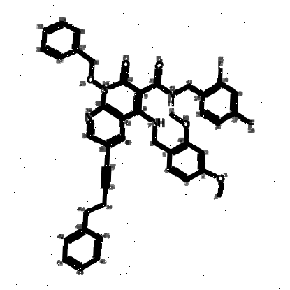 COc1ccc(CNc2c(C(=O)NCc3ccc(F)cc3F)c(=O)n(OCc3ccccc3)c3ncc(C#CCCc4ccccc4)cc23)c(OC)c1